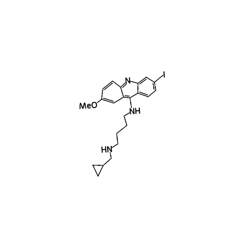 COc1ccc2nc3cc(I)ccc3c(NCCCCNCC3CC3)c2c1